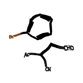 Brc1ccccc1.CC(=O)C(C#N)CC=O